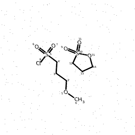 COCCCS(=O)(=O)Cl.O=S1(=O)CCCO1